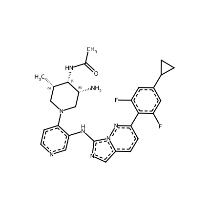 CC(=O)N[C@@H]1[C@H](N)CN(c2ccncc2Nc2ncc3ccc(-c4c(F)cc(C5CC5)cc4F)nn23)C[C@@H]1C